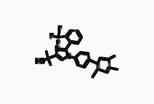 Cc1cc(C)c(-c2ccc(-n3cc(C(C)(C)O)nc3-c3ccccc3C(F)(F)F)cc2)cc1C